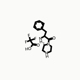 NC(Cc1ccccc1)C(=O)N1CCNCC1.O=C(O)C(F)(F)F